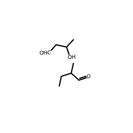 CC(O)CC=O.CCC(C)C=O